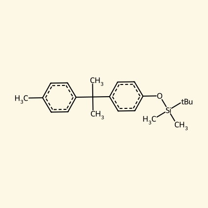 Cc1ccc(C(C)(C)c2ccc(O[Si](C)(C)C(C)(C)C)cc2)cc1